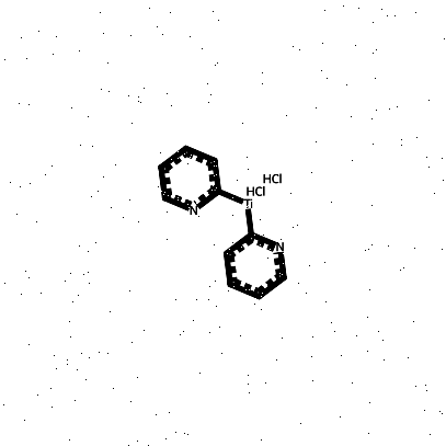 Cl.Cl.c1cc[c]([Ti][c]2ccccn2)nc1